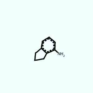 Nc1cccc2c1CCC2